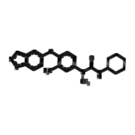 CN(C(=O)NC1CCCCC1)c1ccc(Oc2ccc3sncc3c2)c(C(F)(F)F)c1